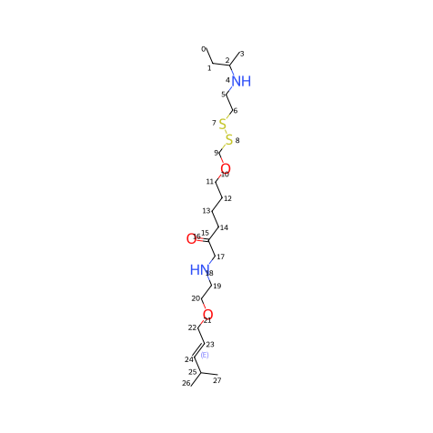 CCC(C)NCCSSCOCCCCC(=O)CNCCOC/C=C/C(C)C